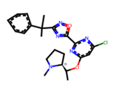 CC(Oc1cc(Cl)nc(-c2nc(C(C)(C)c3ccccc3)no2)n1)[C@@H]1CCCN1C